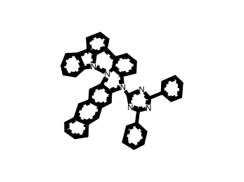 c1ccc(-c2nc(-c3ccccc3)nc(-n3c4cccc5c4-n(c4cc6cc7ccccc7cc6cc43)n3c4ccccc4c4cccc5c43)n2)cc1